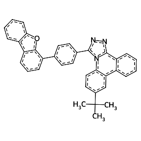 CC(C)(C)c1ccc2c(c1)c1ccccc1c1nnc(-c3ccc(-c4cccc5c4oc4ccccc45)cc3)n21